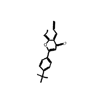 C=C/C=c1/c(=O)cc(-c2ccc(C(C)(C)C)cc2)o/c1=C/C